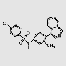 Cc1cc(NS(=O)(=O)c2ccc(Cl)cc2)ccc1-c1cncc2ccccc12